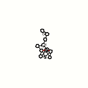 c1ccc(-c2nc(-c3ccc(-c4cccc5c4oc4ccccc45)cc3)cc(-c3ccccc3-c3ccc4c(c3)-c3ccccc3C43c4ccccc4C4(c5ccccc5-c5ccccc54)c4ccccc43)n2)cc1